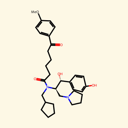 COc1ccc(C(=O)CCCCC(=O)N(CC2CCCC2)[C@H](CN2CCCC2)[C@H](O)c2ccc(O)cc2)cc1